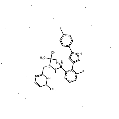 CC1C=CN=C(C[C@@H](NC(=O)c2cccc(F)c2-c2cc(-c3ccc(F)cc3)[nH]n2)C(C)(C)O)N1